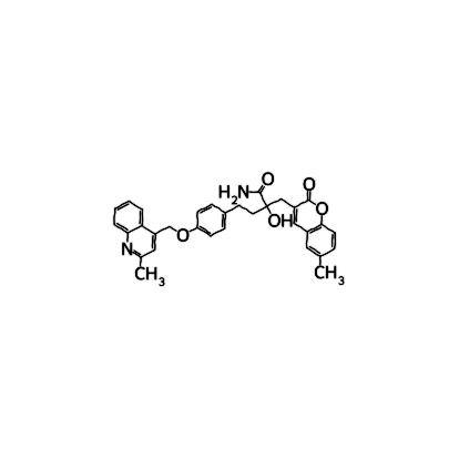 Cc1ccc2oc(=O)c(CC(O)(CCc3ccc(OCc4cc(C)nc5ccccc45)cc3)C(N)=O)cc2c1